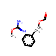 COC(=N)N.COC=O.Cc1ccccc1